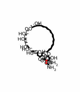 C[C@@H]1[C@H](O)[C@@H](C)/C=C/C=C/C=C/C=C/C=C/C=C/C=C/[C@H](O[C@@H]2O[C@H](C)[C@@H](O)[C@H](N)[C@@H]2O)C[C@@H]2O[C@](O)(C[C@@H](O)C[C@@H](O)[C@H](O)CC[C@@H](O)C[C@@H](O)CC(=O)O[C@H]1C)C[C@H](O)[C@H]2NC(=O)NCCN